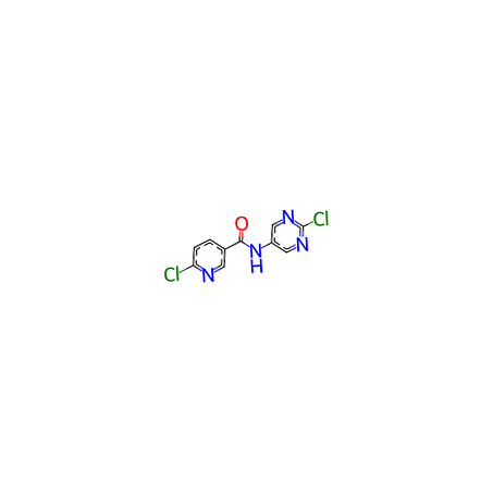 O=C(Nc1cnc(Cl)nc1)c1ccc(Cl)nc1